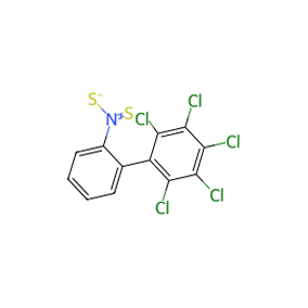 S=[N+]([S-])c1ccccc1-c1c(Cl)c(Cl)c(Cl)c(Cl)c1Cl